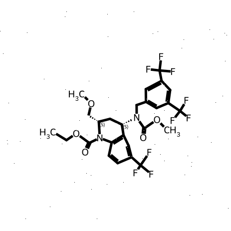 CCOC(=O)N1c2ccc(C(F)(F)F)cc2[C@@H](N(Cc2cc(C(F)(F)F)cc(C(F)(F)F)c2)C(=O)OC)C[C@H]1COC